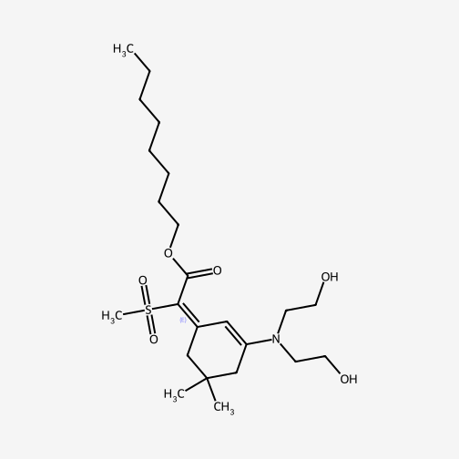 CCCCCCCCOC(=O)/C(=C1\C=C(N(CCO)CCO)CC(C)(C)C1)S(C)(=O)=O